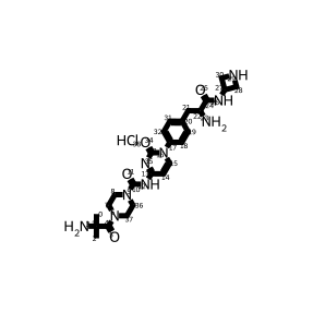 CC(C)(N)C(=O)N1CCN(C(=O)Nc2ccn(-c3ccc(CC(N)C(=O)NC4CNC4)cc3)c(=O)n2)CC1.Cl